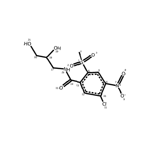 CS(=O)(=O)c1cc([N+](=O)[O-])c(Cl)cc1C(=O)NCC(O)CO